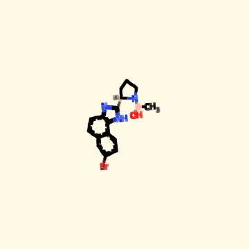 CB(O)N1CCC[C@H]1c1nc2ccc3cc(Br)ccc3c2[nH]1